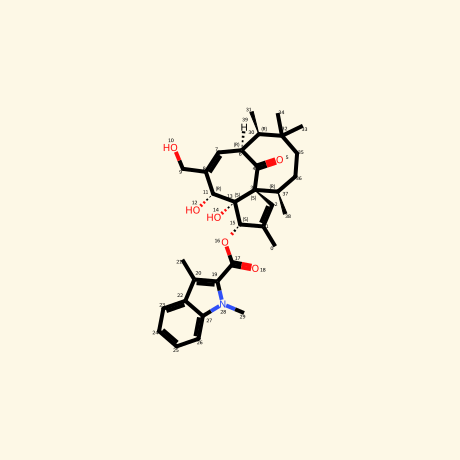 CC1=C[C@]23C(=O)[C@@H](C=C(CO)[C@@H](O)[C@]2(O)[C@H]1OC(=O)c1c(C)c2ccccc2n1C)[C@@H](C)C(C)(C)CC[C@H]3C